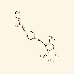 CCOC(=O)/C=C/c1ccc(C#Cc2cc(C(C)(C)C)ccc2C)cc1